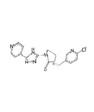 O=C1[C@@H](Cc2ccc(Cl)nc2)CCN1c1nnc(-c2ccncc2)[nH]1